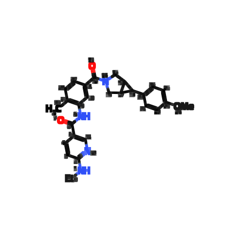 CCNc1ccc(C(=O)Nc2cc(C(=O)N3CC4C(C3)C4c3ccc(OC)cc3)ccc2C)cn1